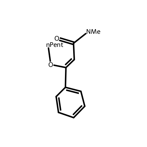 CCCCCOC(=CC(=O)NC)c1ccccc1